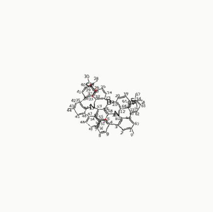 Cc1cc(-c2ccccc2)c(N2c3cc([Si](C)(C)C)ccc3B3c4ccc([Si](C)(C)C)cc4N(c4c(-c5ccccc5)cc(C)cc4-c4ccccc4)c4cc(C)cc2c43)c(-c2ccccc2)c1